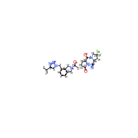 CC(C)c1cn(Cc2cccc3c2CN(C(=O)C[C@@H]2C[C@@H](C(=O)N4CC(F)(F)C[C@H]4C#N)NC2=O)C3)nn1